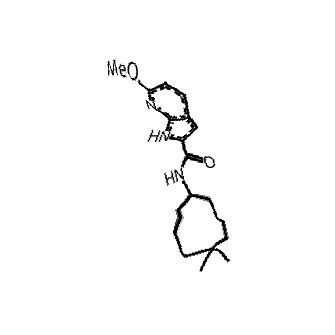 COc1ccc2cc(C(=O)NC3CCCC(C)(C)CCC3)[nH]c2n1